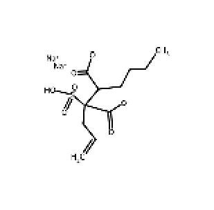 C=CCC(C(=O)[O-])(C(CCCC)C(=O)[O-])S(=O)(=O)O.[Na+].[Na+]